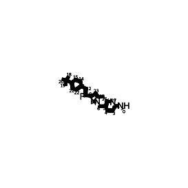 CNc1ccc(Cn2nc(C(F)=Cc3ccc(C(C)(C)C)cc3)cc2C)cn1